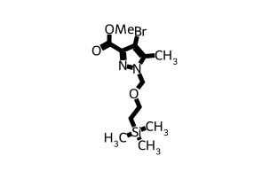 COC(=O)c1nn(COCC[Si](C)(C)C)c(C)c1Br